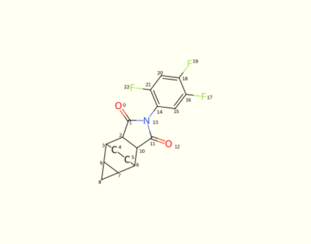 O=C1C2C3CCC(C4CC43)C2C(=O)N1c1cc(F)c(F)cc1F